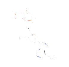 CNc1ncnc2c1ncn2[C@H]1C[C@H](O)[C@@H](COP(=O)(O)OP(=O)(O)OP(=O)(O)O)O1